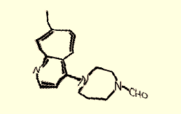 Cc1ccc2c(N3CCN(C=O)CC3)ccnc2c1